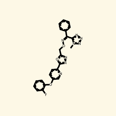 Cn1nnnc1/C(=N\OCc1nnc(-c2ccc(Oc3ccccc3F)cn2)o1)c1ccccc1